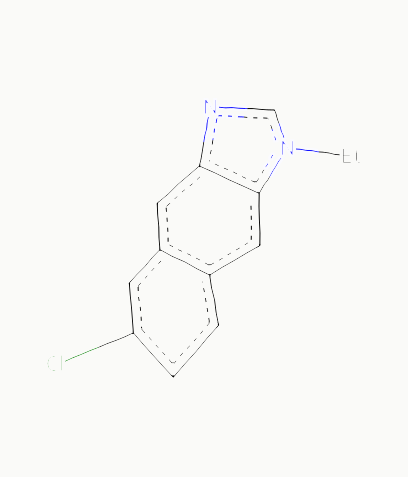 CCn1cnc2cc3cc(Cl)ccc3cc21